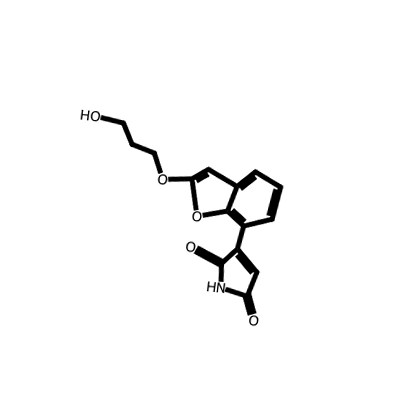 O=C1C=C(c2cccc3cc(OCCCO)oc23)C(=O)N1